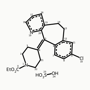 CCOC(=O)N1CCC(=C2c3ccc(Cl)cc3CCc3cccnc32)CC1.O=S(=O)(O)O